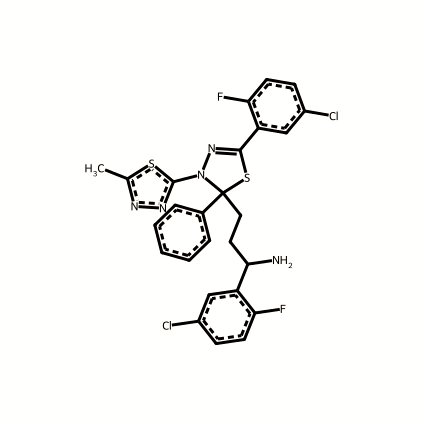 Cc1nnc(N2N=C(c3cc(Cl)ccc3F)SC2(CCC(N)c2cc(Cl)ccc2F)c2ccccc2)s1